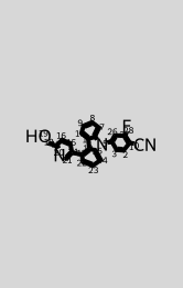 N#Cc1ccc(-n2c3ccccc3c3c(-c4ccc(CO)nc4)cccc32)cc1F